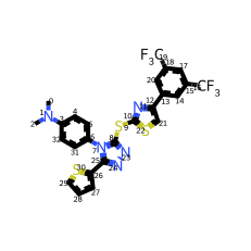 CN(C)c1ccc(-n2c(Sc3nc(-c4cc(C(F)(F)F)cc(C(F)(F)F)c4)cs3)nnc2-c2cccs2)cc1